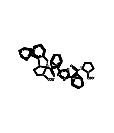 O=C([O-])N1CCC[C@H]1C(=O)[N+]1(c2nnc([N+]3(C(=O)[C@]4(Cc5ccccc5)C(Cc5ccccc5)CCN4C(=O)[O-])C4=CC=C3C=C4)o2)C2=CC=C1C=C2